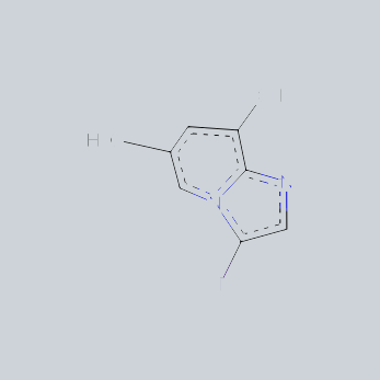 Cc1cc(C)c2ncc(I)n2c1